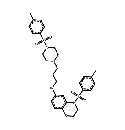 Cc1ccc(S(=O)(=O)N2CCN(CCCNc3ccc4c(c3)N(S(=O)(=O)c3ccc(C)cc3)CCS4)CC2)cc1